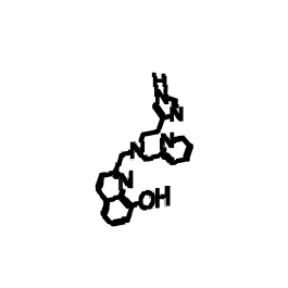 Oc1cccc2ccc(CN(CCc3c[nH]cn3)Cc3ccccn3)nc12